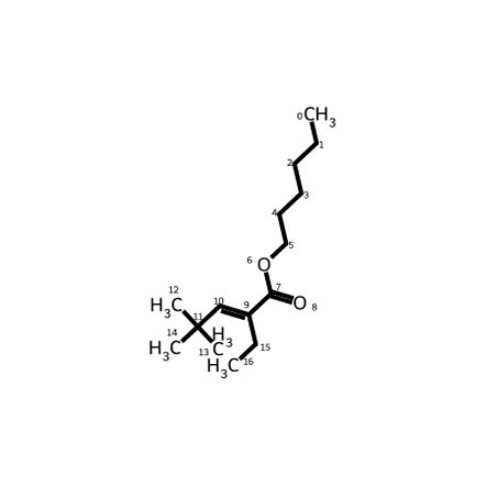 CCCCCCOC(=O)C(=CC(C)(C)C)CC